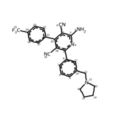 N#Cc1c(N)nc(-c2cccc(CN3CCCC3)c2)c(C#N)c1-c1ccc(C(F)(F)F)cc1